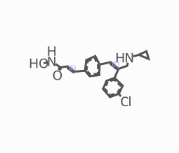 O=C(/C=C/c1ccc(/C=C(/CNC2CC2)c2cccc(Cl)c2)cc1)NO